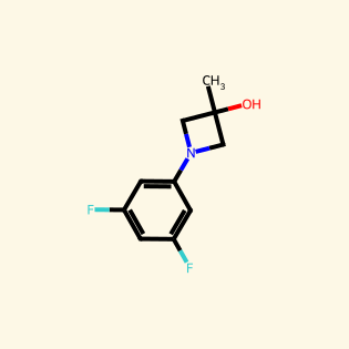 CC1(O)CN(c2cc(F)cc(F)c2)C1